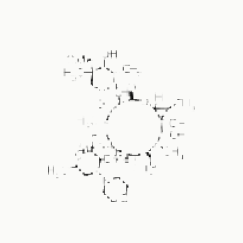 CO[C@H]1[C@H](O[C@@H]2[C@@H](C)[C@H](O[C@H]3C[C@@](C)(OC)[C@@H](O)[C@H](C)O3)[C@@H](C)C(=O)O[C@@H]3C(C)[C@]3(O)[C@H](O)[C@@H](C)C(=O)[C@H](C)C[C@]2(C)OC)O[C@H](C)C[C@@H]1N1CCOCC1